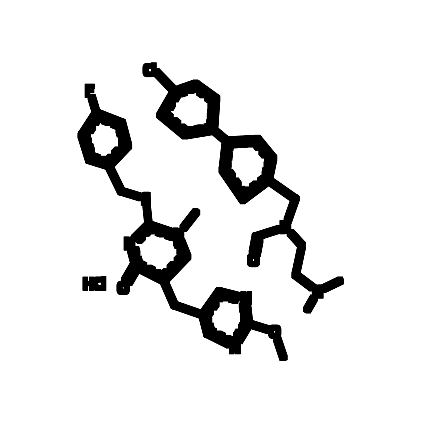 CN(C)CCN(C=O)Cc1ccc(-c2ccc(Cl)cc2)cc1.COc1ncc(Cc2cn(C)c(SCc3ccc(F)cc3)nc2=O)cn1.Cl